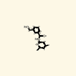 Cc1cc(C)nc(NC(=O)c2cccc(CO)c2)c1